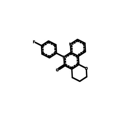 O=c1c2c(c3cccnc3n1-c1ccc(F)cc1)OCCC2